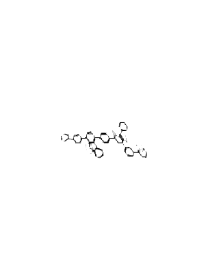 c1ccc(-c2nc(-c3ccc(-c4ccc(-c5ccc6c(c5)sc5ccccc56)c5oc6ccccc6c45)cc3)cc(-c3cccc(-c4ccccn4)c3)n2)cc1